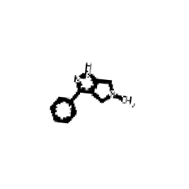 CN1Cc2[nH]nc(-c3ccccc3)c2C1